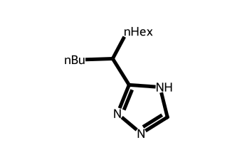 CCCCCCC(CCCC)c1nnc[nH]1